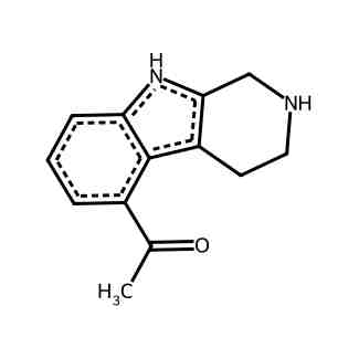 CC(=O)c1cccc2[nH]c3c(c12)CCNC3